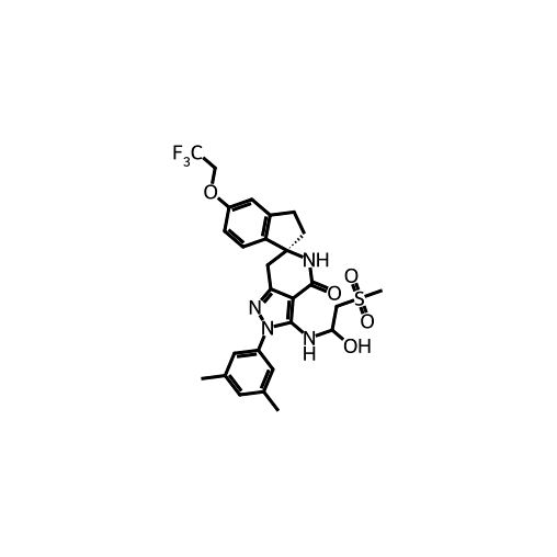 Cc1cc(C)cc(-n2nc3c(c2NC(O)CS(C)(=O)=O)C(=O)N[C@@]2(CCc4cc(OCC(F)(F)F)ccc42)C3)c1